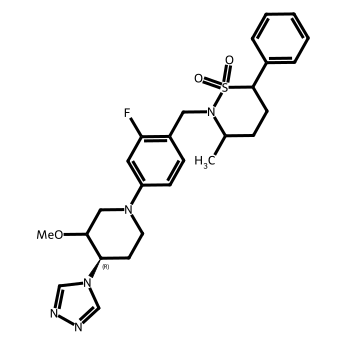 COC1CN(c2ccc(CN3C(C)CCC(c4ccccc4)S3(=O)=O)c(F)c2)CC[C@H]1n1cnnc1